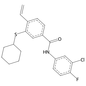 C=Cc1ccc(C(=O)Nc2ccc(F)c(Cl)c2)cc1SC1CCCCC1